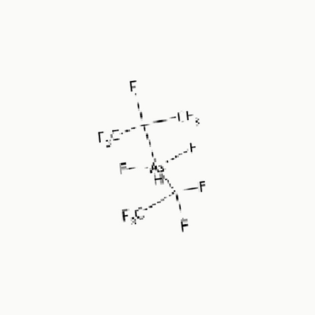 FC(F)(F)C(F)(F)[AsH](F)(F)C(F)(C(F)(F)F)C(F)(F)F